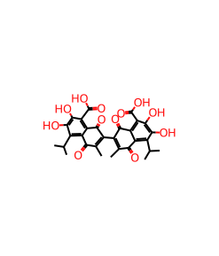 CC1=C(C2=C(C)C(=O)c3c(c(C(=O)O)c(O)c(O)c3C(C)C)C2=O)C(=O)c2c(C(=O)O)c(O)c(O)c(C(C)C)c2C1=O